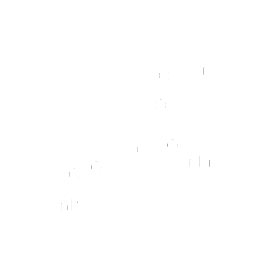 CCCOOCC(COOCCC)OOCCC